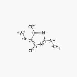 CNc1nc(Cl)c(SC)c(Cl)n1